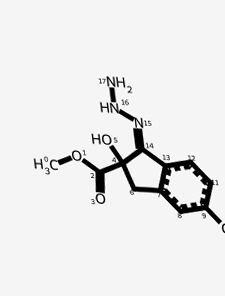 COC(=O)C1(O)Cc2cc(Cl)ccc2C1=NNN